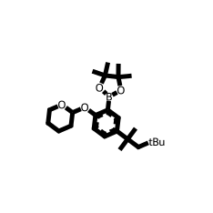 CC(C)(C)CC(C)(C)c1ccc(OC2CCCCO2)c(B2OC(C)(C)C(C)(C)O2)c1